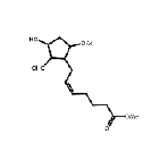 COC(=O)CCC/C=C\CC1C(OC(C)=O)CC(O)C1C=O